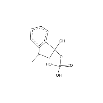 CN1CC(O)(OP(=O)(O)O)c2ccccc21